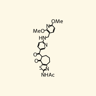 COc1ccc(CNc2ccc(C(=O)C3CCCc4nc(NC(C)=O)sc4C3=O)cn2)c(OC)n1